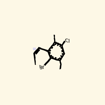 C/C=C\c1c(C)c(Cl)cc(C)c1Br